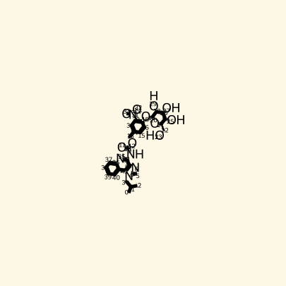 CC(C)Cn1cnc2c(NC(=O)OCc3ccc(O[C@H]4O[C@H](CO)[C@@H](O)[C@H](O)[C@@H]4O)c([N+](=O)[O-])c3)nc3ccccc3c21